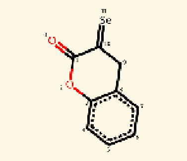 O=C1Oc2ccccc2CC1=[Se]